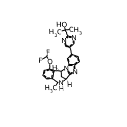 CC1N[C@H]2C[C@@H](c3c(OC(F)F)cccc31)n1c2nc2ccc(-c3cnc(C(C)(C)O)nc3)cc21